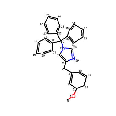 COC1C=C(Cc2cn(C(c3ccccc3)(c3ccccc3)c3ccccc3)cn2)C=CC1